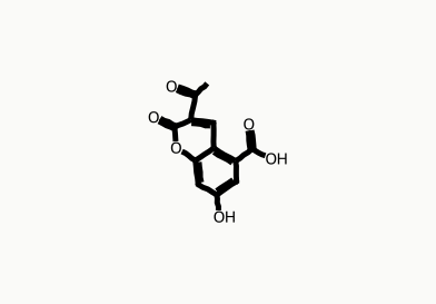 CC(=O)c1cc2c(C(=O)O)cc(O)cc2oc1=O